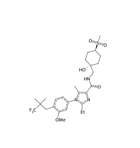 CCc1nc(C(=O)NC[C@]2(O)CC[C@H](S(C)(=O)=O)CC2)c(C)n1-c1ccc(CC(C)(C)C(F)(F)F)c(OC)c1